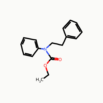 CCOC(=O)N(CCc1ccccc1)c1ccccc1